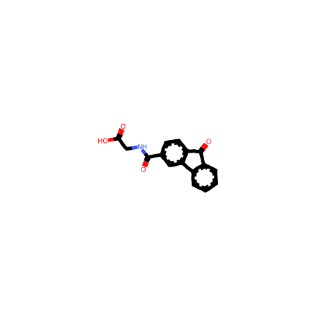 O=C(O)CNC(=O)c1ccc2c(c1)-c1ccccc1C2=O